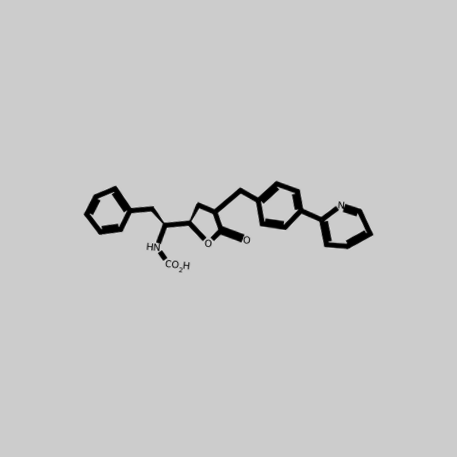 O=C(O)N[C@@H](Cc1ccccc1)[C@H]1CC(Cc2ccc(-c3ccccn3)cc2)C(=O)O1